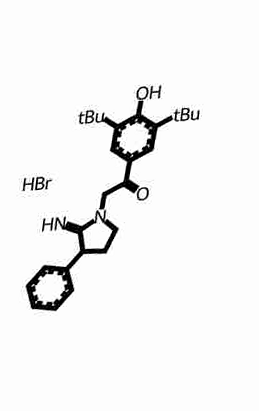 Br.CC(C)(C)c1cc(C(=O)CN2CCC(c3ccccc3)C2=N)cc(C(C)(C)C)c1O